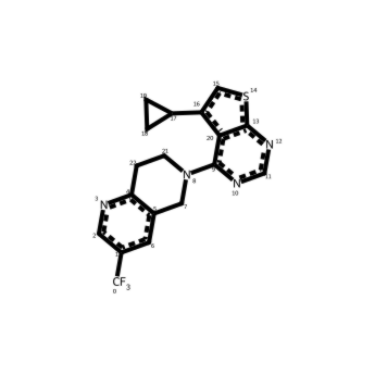 FC(F)(F)c1cnc2c(c1)CN(c1ncnc3scc(C4CC4)c13)CC2